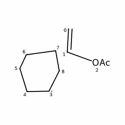 C=COC(C)=O.[CH]1CCCCC1